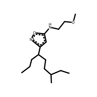 CCCC(CCC(C)CC)c1cc(NCCOC)on1